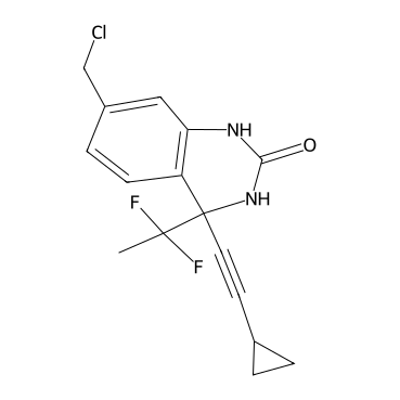 CC(F)(F)C1(C#CC2CC2)NC(=O)Nc2cc(CCl)ccc21